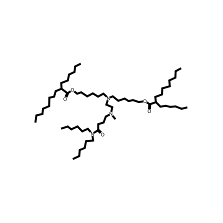 CCCCCCCCC(CCCCCC)C(=O)OCCCCCCN(CCCCCCOC(=O)C(CCCCCC)CCCCCCCC)CCN(C)CCCC(=O)N(CCCCCC)CCCCCC